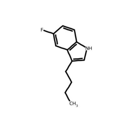 CCCCc1c[nH]c2ccc(F)cc12